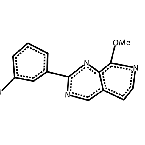 COc1nccc2cnc(-c3cccc(I)c3)nc12